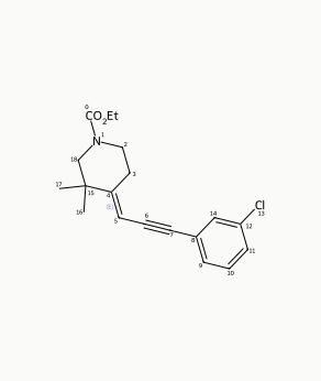 CCOC(=O)N1CC/C(=C\C#Cc2cccc(Cl)c2)C(C)(C)C1